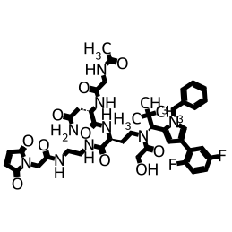 CC(=O)NCC(=O)N[C@@H](CC(N)=O)C(=O)N[C@@H](CCN(C(=O)CO)[C@@H](c1cc(-c2cc(F)ccc2F)cn1Cc1ccccc1)C(C)(C)C)C(=O)NCCNC(=O)CN1C(=O)C=CC1=O